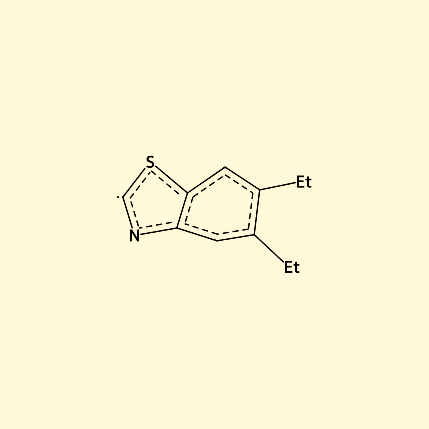 CCc1cc2n[c]sc2cc1CC